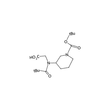 CC(C)(C)OC(=O)N1CCCC(N(CC(=O)O)C(=O)C(C)(C)C)C1